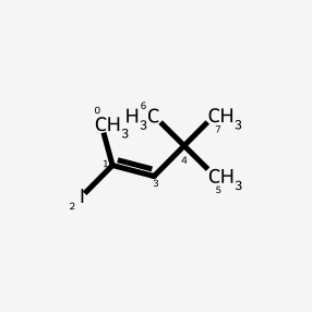 C/C(I)=C\C(C)(C)C